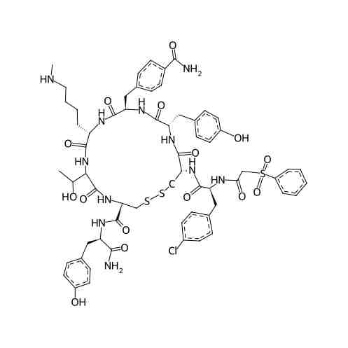 CNCCCC[C@@H]1NC(=O)[C@@H](Cc2ccc(C(N)=O)cc2)NC(=O)[C@H](Cc2ccc(O)cc2)NC(=O)[C@H](NC(=O)[C@H](Cc2ccc(Cl)cc2)NC(=O)CS(=O)(=O)c2ccccc2)CSSC[C@@H](C(=O)N[C@H](Cc2ccc(O)cc2)C(N)=O)NC(=O)C(C(C)O)NC1=O